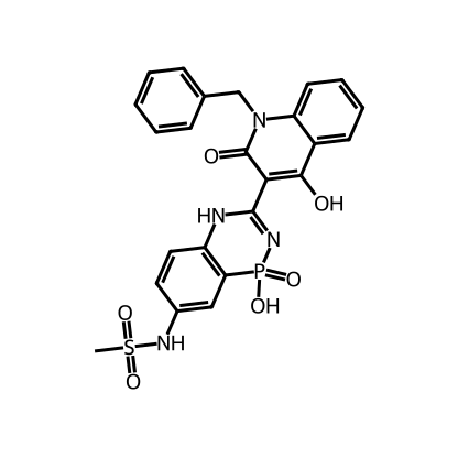 CS(=O)(=O)Nc1ccc2c(c1)P(=O)(O)N=C(c1c(O)c3ccccc3n(Cc3ccccc3)c1=O)N2